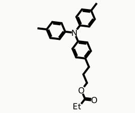 CCC(=O)OCCCc1ccc(N(c2ccc(C)cc2)c2ccc(C)cc2)cc1